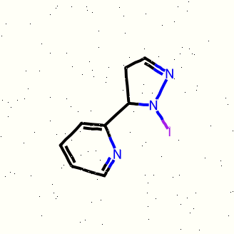 IN1N=CCC1c1ccccn1